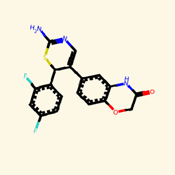 NC1=NC=C(c2ccc3c(c2)NC(=O)CO3)C(c2ccc(F)cc2F)S1